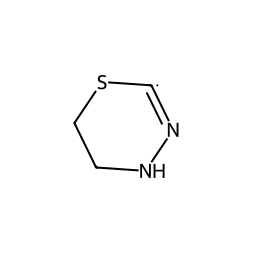 [C]1=NNCCS1